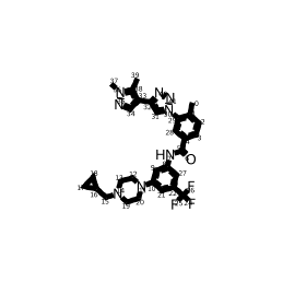 Cc1ccc(C(=O)Nc2cc(N3CCN(CC4CC4)CC3)cc(C(F)(F)F)c2)cc1-n1cc(-c2cnn(C)c2C)nn1